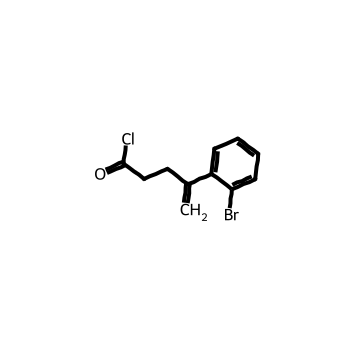 C=C(CCC(=O)Cl)c1ccccc1Br